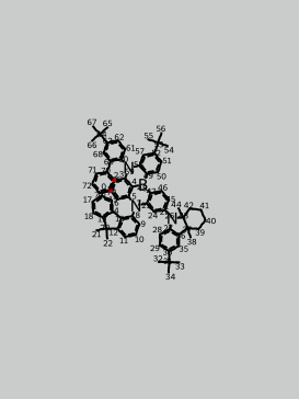 Cc1cc2c3c(c1)N(c1cccc4c1-c1ccccc1C4(C)C)c1cc(N4c5ccc(C(C)(C)C)cc5C5(C)CCCCC45C)ccc1B3c1ccc(C(C)(C)C)cc1N2c1ccc(C(C)(C)C)cc1-c1ccccc1